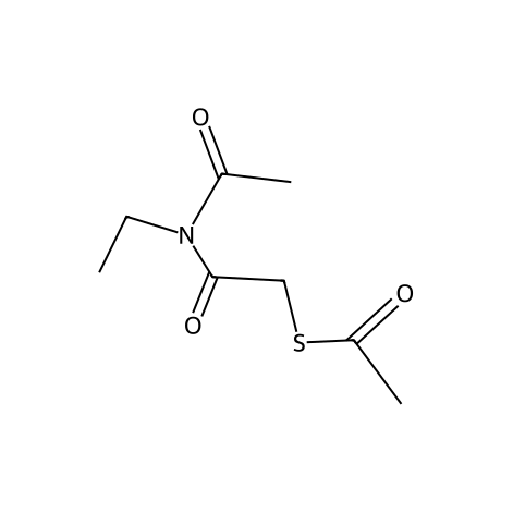 CCN(C(C)=O)C(=O)CSC(C)=O